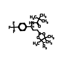 CC(C)(C)C(=O)N[C@@H](CCB1OC(C)(C)C(C)(C)O1)c1ccc(C(F)(F)F)cc1